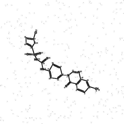 Cc1ccc2c(=O)n(-c3ccc(NC(=O)NS(=O)(=O)c4ccc(Cl)s4)cc3)cnc2c1